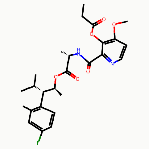 CCC(=O)Oc1c(OC)ccnc1C(=O)N[C@@H](C)C(=O)O[C@@H](C)[C@H](c1ccc(F)cc1C)C(C)C